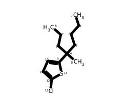 CCCCC(C)(CCC)c1ccc(Cl)s1